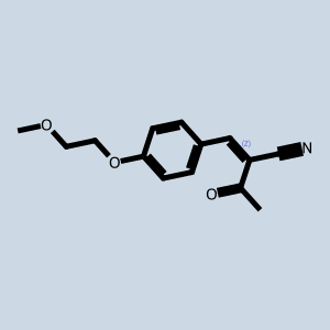 COCCOc1ccc(/C=C(/C#N)C(C)=O)cc1